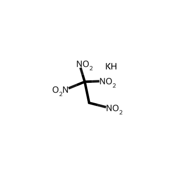 O=[N+]([O-])CC([N+](=O)[O-])([N+](=O)[O-])[N+](=O)[O-].[KH]